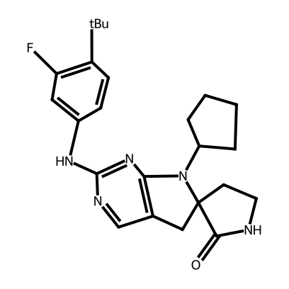 CC(C)(C)c1ccc(Nc2ncc3c(n2)N(C2CCCC2)C2(CCNC2=O)C3)cc1F